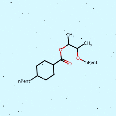 CCCCCOC(C)C(C)OC(=O)C1CCC(CCCCC)CC1